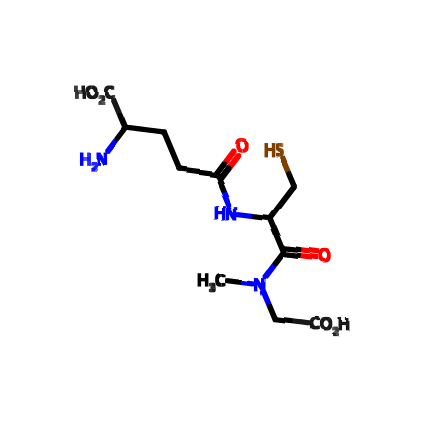 CN(CC(=O)O)C(=O)C(CS)NC(=O)CCC(N)C(=O)O